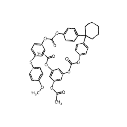 COc1ccc(Sc2ccc(OC(=O)Oc3ccc(C4(c5ccc(OC(=O)Oc6cc(OC(C)=O)cc(OC(C)=O)c6)cc5)CCCCC4)cc3)cc2)cc1